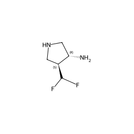 N[C@H]1CNC[C@@H]1C(F)F